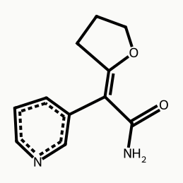 NC(=O)/C(=C1/CCCO1)c1cccnc1